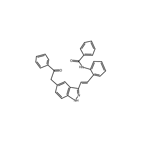 O=C(Cc1ccc2[nH]nc(/C=C/c3ccccc3NC(=O)c3ccccc3)c2c1)c1ccccc1